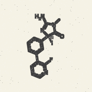 CN1C(=O)[C@@](I)(c2cccc(-c3cccnc3F)c2)N=C1N